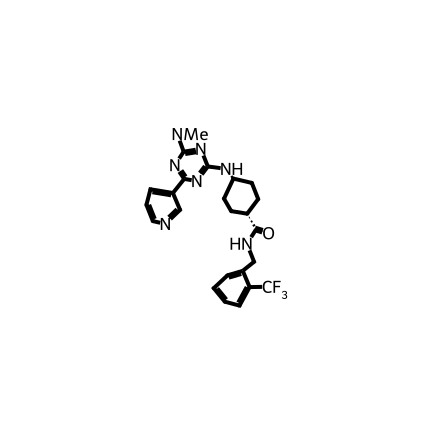 CNc1nc(N[C@H]2CC[C@@H](C(=O)NCc3ccccc3C(F)(F)F)CC2)nc(-c2cccnc2)n1